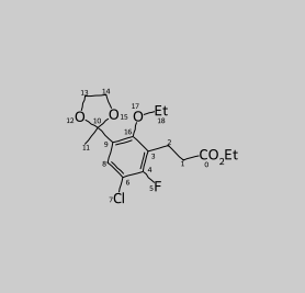 CCOC(=O)CCc1c(F)c(Cl)cc(C2(C)OCCO2)c1OCC